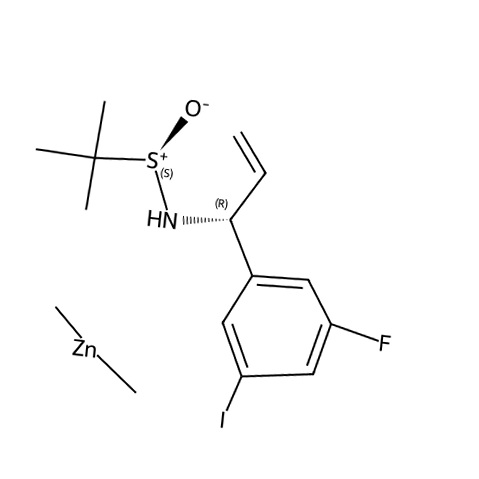 C=C[C@@H](N[S@+]([O-])C(C)(C)C)c1cc(F)cc(I)c1.[CH3][Zn][CH3]